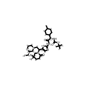 CC1CCC([C@H](NC(=O)OC(C)(C)C)C(=O)Nc2ncc(C(CN3CCO[C@H](CF)C3)N3CC(F)(F)CCC3=O)s2)CC1